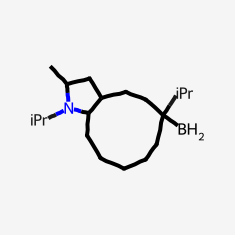 BC1(C(C)C)CCCCCC2C(CC1)CC(C)N2C(C)C